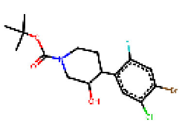 CC(C)(C)OC(=O)N1CCC(c2cc(Cl)c(Br)cc2F)C(O)C1